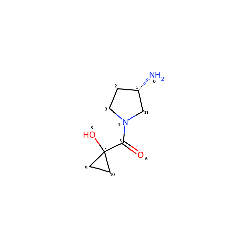 N[C@H]1CCN(C(=O)C2(O)CC2)C1